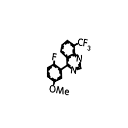 COc1ccc(F)c(-c2ncnc3c(C(F)(F)F)cccc23)c1